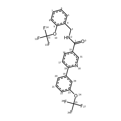 O=C(NCc1ccccc1OC(F)(F)F)c1ccc(-c2cccc(OC(F)(F)F)c2)nc1